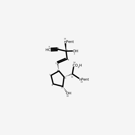 C#C[C@](O)(C=C[C@H]1CC[C@@H](O)[C@H]1C(CCCCC)C(=O)O)CCCCC